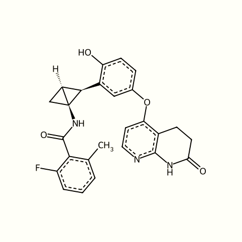 Cc1cccc(F)c1C(=O)N[C@@]12C[C@H]1[C@H]2c1cc(Oc2ccnc3c2CCC(=O)N3)ccc1O